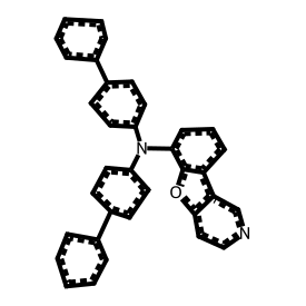 c1ccc(-c2ccc(N(c3ccc(-c4ccccc4)cc3)c3cccc4c3oc3ccncc34)cc2)cc1